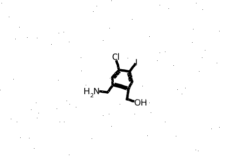 NCc1cc(Cl)c(I)cc1CO